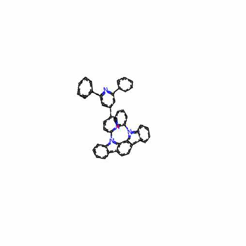 c1ccc(-c2cc(-c3ccc(-n4c5ccccc5c5ccc6c7ccccc7n(-c7ccccc7)c6c54)nc3)cc(-c3ccccc3)n2)cc1